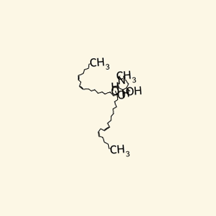 CCCCC/C=C\C/C=C\CCCCCCCCC1(CCCCCCCC/C=C\C/C=C\CCCCC)O[C@H]2[C@H](O)CCN(C)C[C@H]2O1